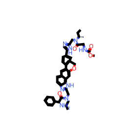 CCCN(Cc1nc2ccc3cc4c(cc3c2[nH]1)OCc1cc(-c2cnc(CN(C(=O)CNC(=O)OC)[C@@H](C)CC)[nH]2)ccc1-4)C(=O)[C@H](N)c1ccccc1